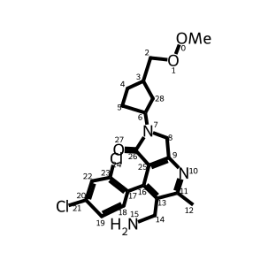 COOCC1CCC(N2Cc3nc(C)c(CN)c(-c4ccc(Cl)cc4Cl)c3C2=O)C1